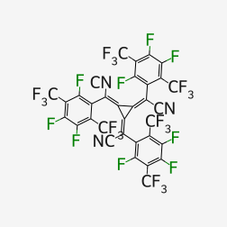 N#CC(=C1C(=C(C#N)c2c(F)c(C(F)(F)F)c(F)c(F)c2C(F)(F)F)C1=C(C#N)c1c(F)c(C(F)(F)F)c(F)c(F)c1C(F)(F)F)c1c(F)c(C(F)(F)F)c(F)c(F)c1C(F)(F)F